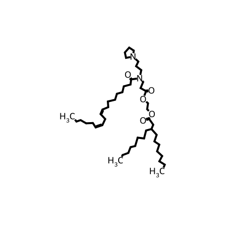 CCCCC/C=C\C/C=C\CCCCCCCC(=O)N(CCCN1CCCC1)CCC(=O)OCCOC(=O)CC(CCCCCCCC)CCCCCCCC